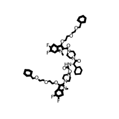 Cn1c(C(=O)N2CCN(C(=O)[C@@H](NC(=O)ON3CCN(c4c(OCCOCCOCc5ccccc5)c5cc(F)c(F)cc5n4C)CC3)C3CCCCC3)CC2)c(OCCOCCOCc2ccccc2)c2cc(F)c(F)cc21